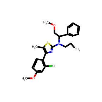 CCCN(c1nc(-c2ccc(OC)cc2Cl)c(C)s1)C(COC)c1ccccc1